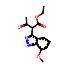 CCOC(=O)C(C(C)=O)c1n[nH]c2c(OC)cccc12